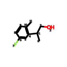 C[C](CO)c1cc(F)ccc1C